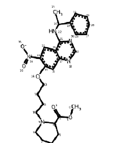 COC(=O)C1CCCCN1CCCCOc1cc2ncnc(NC(C)c3ccccc3)c2cc1[N+](=O)[O-]